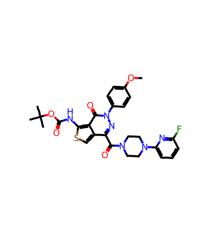 COc1ccc(-n2nc(C(=O)N3CCN(c4cccc(F)n4)CC3)c3csc(NC(=O)OC(C)(C)C)c3c2=O)cc1